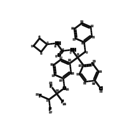 O=C(NC1CCC1)NC(Cc1ccccc1)(c1cccc(OC(F)(F)C(F)F)c1)c1ccc(Cl)cn1